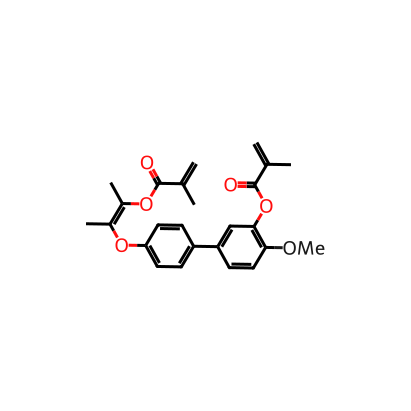 C=C(C)C(=O)OC(C)=C(C)Oc1ccc(-c2ccc(OC)c(OC(=O)C(=C)C)c2)cc1